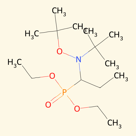 CCOP(=O)(OCC)C(CC)N(OC(C)(C)C)C(C)(C)C